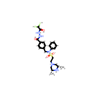 C[C@@H]1CN(CCS(=O)(=O)N(Cc2ccc(C(=O)NNC(=O)C(F)F)cc2)c2ccccc2)C[C@H](C)N1